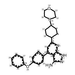 Nc1n[nH]c2nc(C3CCC(N4CCOCC4)CC3)cc(-c3ccc(Oc4ccccc4)cc3)c12